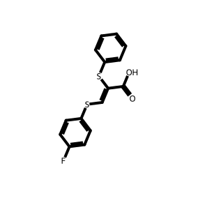 O=C(O)/C(=C/Sc1ccc(F)cc1)Sc1ccccc1